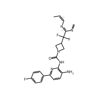 C=N/C(=N\C=C/C)C(F)(F)C1CN(C(=O)Nc2nc(-c3ccc(F)cc3)ccc2N)C1